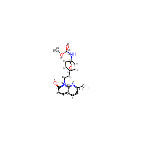 Cc1ccc2ccc(=O)n(CCC34CCC(NC(=O)OC(C)(C)C)(CC3)CO4)c2n1